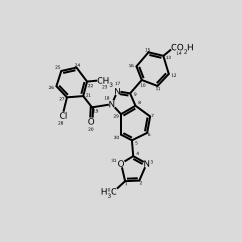 Cc1cnc(-c2ccc3c(-c4ccc(C(=O)O)cc4)nn(C(=O)c4c(C)cccc4Cl)c3c2)o1